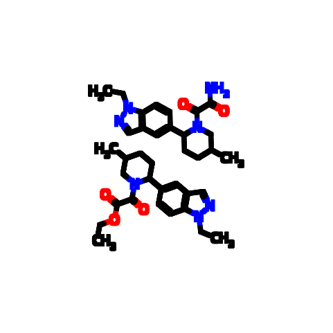 CCOC(=O)C(=O)N1CC(C)CCC1c1ccc2c(cnn2CC)c1.CCn1ncc2cc(C3CCC(C)CN3C(=O)C(N)=O)ccc21